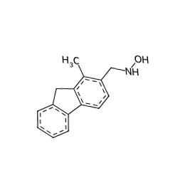 Cc1c(CNO)ccc2c1Cc1ccccc1-2